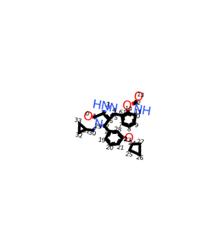 O=C1c2[nH]nc(-c3cccc4[nH]c(=O)oc34)c2C(c2cccc(OC3CCC3)c2)N1CC1CC1